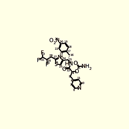 NC(=O)OC(Cc1ccncc1)C(=O)N[C@@H](Cc1ccc([N+](=O)[O-])cc1)c1csc(CC(F)C(F)F)n1